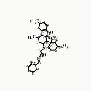 CC1C=CC2=C(C1)C1C(C)CC(NCN/N=C/C3C=CC=CC3)C(C3(C)CCCC(C)C3)C1(C)N2